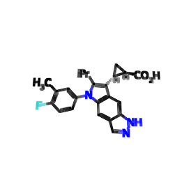 Cc1cc(-n2c(C(C)C)c([C@@H]3C[C@H]3C(=O)O)c3cc4[nH]ncc4cc32)ccc1F